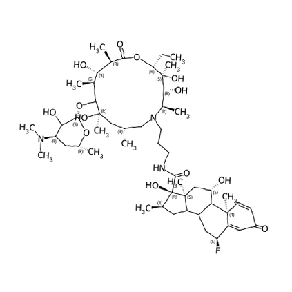 CC[C@H]1OC(=O)[C@H](C)[C@@H](O)[C@H](C)C(O[C@@H]2O[C@H](C)C[C@@H](N(C)C)C2O)[C@](C)(O)C[C@@H](C)CN(CCCNC(=O)[C@@]2(O)[C@H](C)CC3C4C[C@H](F)C5=CC(=O)C=C[C@]5(C)C4[C@@H](O)C[C@@]32C)[C@H](C)[C@@H](O)[C@]1(C)O